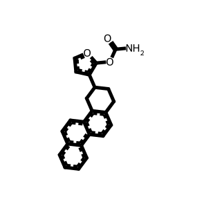 NC(=O)Oc1occc1C1CCc2ccc3c(ccc4ccccc43)c2C1